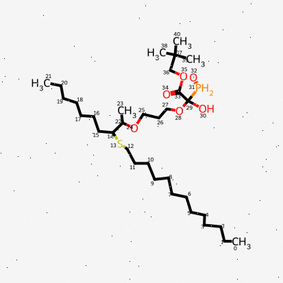 CCCCCCCCCCCCCSC(CCCCCCC)C(C)OCCCOC(O)([PH2]=O)C(=O)OCC(C)(C)C